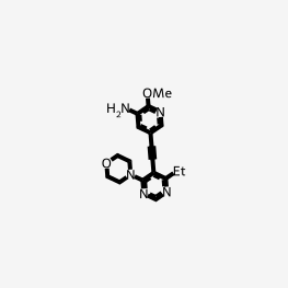 CCc1ncnc(N2CCOCC2)c1C#Cc1cnc(OC)c(N)c1